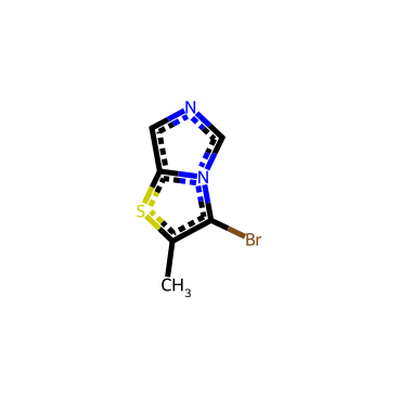 Cc1sc2cncn2c1Br